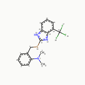 CN(C)c1ccccc1CSc1nc2c(C(F)(F)F)cccc2[nH]1